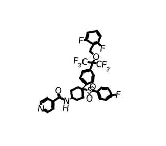 O=C(N[C@H]1CC[C@@](c2ccc(C(OCc3c(F)cccc3F)(C(F)(F)F)C(F)(F)F)cc2)(S(=O)(=O)c2ccc(F)cc2)CC1)c1ccncc1